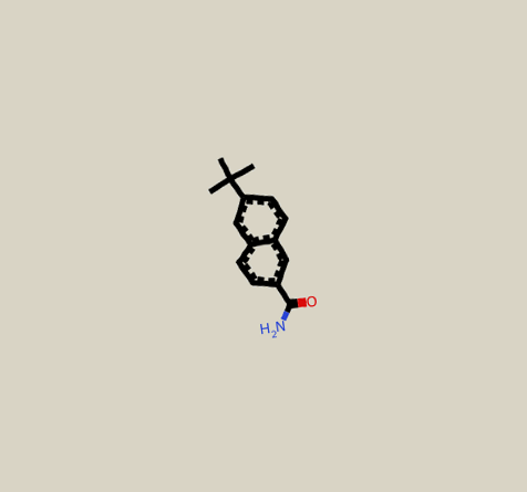 CC(C)(C)c1ccc2cc(C(N)=O)ccc2c1